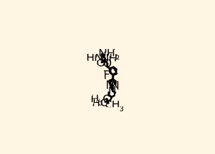 CC(C)(O)CC1CCN(c2ncc(-c3cccc(COC(=O)NC(=N)N)c3F)cn2)CC1